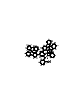 N#Cc1ccccc1-c1nc(-c2ccccc2C#N)c2cc(-c3ccc4c(c3)C3(c5ccccc5-c5ccccc53)c3ccccc3-4)cc(-c3ccc4c(c3)C3(c5ccccc5-c5ccccc53)c3ccccc3-4)c2n1